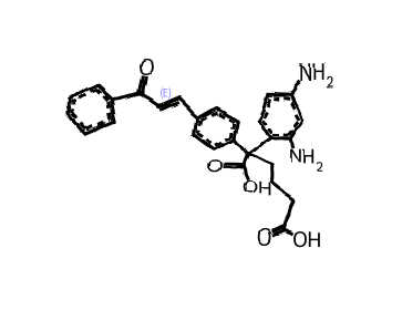 Nc1ccc(C(CCCC(=O)O)(C(=O)O)c2ccc(/C=C/C(=O)c3ccccc3)cc2)c(N)c1